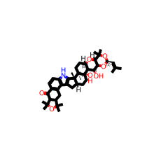 CC(C)=C[C@H]1OC2[C@@H](O)C3[C@H](CC[C@@]4(C)[C@@]3(O)CC[C@H]3Cc5c([nH]c6ccc7c(c56)CC5C(C7=O)C(C)(C)OC5(C)C)[C@@]34C)O[C@@H]2C(C)(C)O1